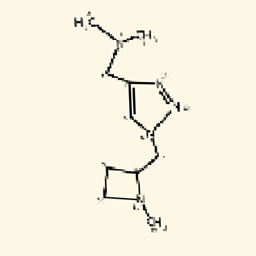 CN(C)Cc1cn(CC2CCN2C)nn1